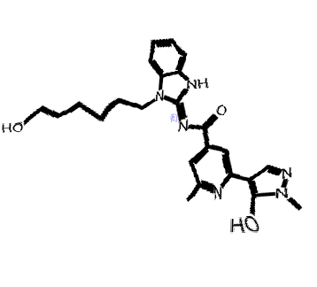 Cc1cc(C(=O)/N=c2\[nH]c3ccccc3n2CCCCCCO)cc(-c2cnn(C)c2O)n1